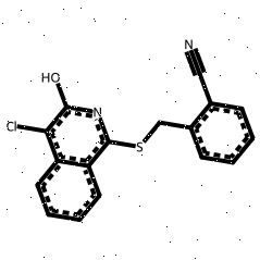 N#Cc1ccccc1CSc1nc(O)c(Cl)c2ccccc12